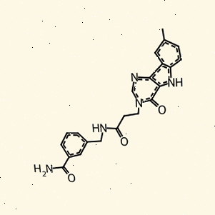 Cc1ccc2[nH]c3c(=O)n(CCC(=O)NCc4cccc(C(N)=O)c4)cnc3c2c1